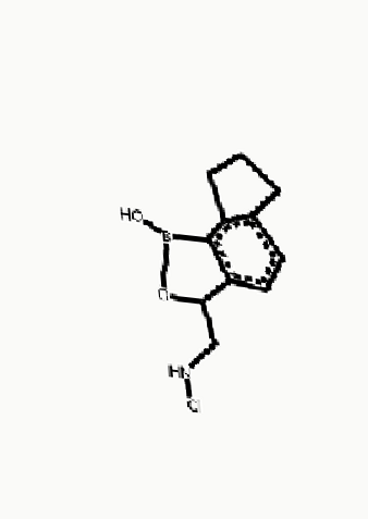 OB1OC(CNCl)c2ccc3c(c21)CCC3